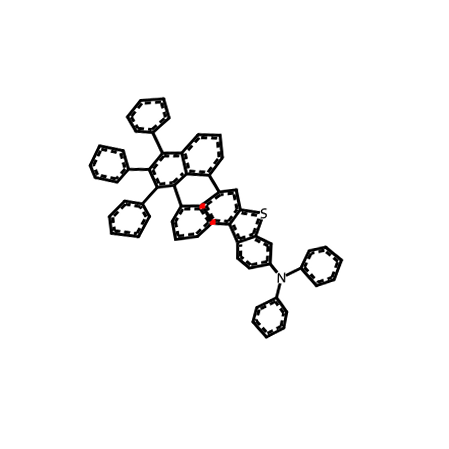 c1ccc(-c2c(-c3ccccc3)c(-c3ccccc3)c3c(-c4ccc5c(c4)sc4cc(N(c6ccccc6)c6ccccc6)ccc45)cccc3c2-c2ccccc2)cc1